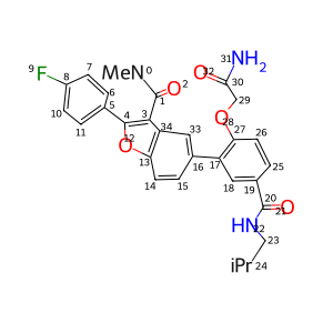 CNC(=O)c1c(-c2ccc(F)cc2)oc2ccc(-c3cc(C(=O)NCC(C)C)ccc3OCC(N)=O)cc12